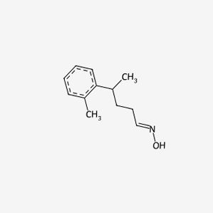 Cc1ccccc1C(C)CCC=NO